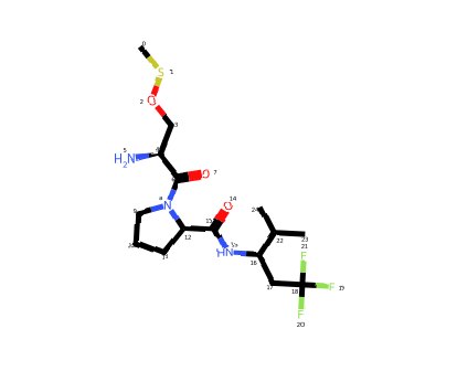 CSOC[C@H](N)C(=O)N1CCCC1C(=O)NC(CC(F)(F)F)C(C)C